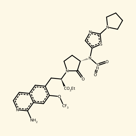 CCOC(=O)[C@@H](Cc1cc2ccnc(N)c2cc1OC(F)(F)F)N1CC[C@H](N(c2cnc(N3CCCC3)s2)[SH](=O)=O)C1=O